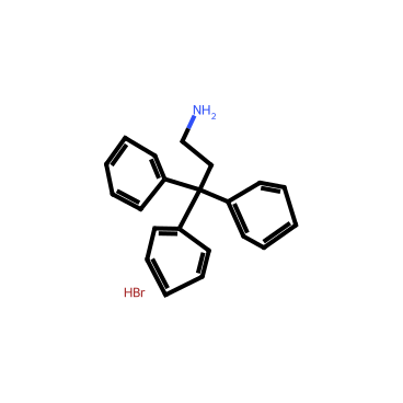 Br.NCCC(c1ccccc1)(c1ccccc1)c1ccccc1